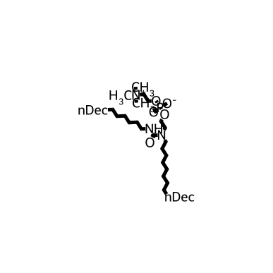 CCCCCCCCCCCCCCCCCCN(CCOP(=O)([O-])OCC[N+](C)(C)C)C(=O)NCCCCCCCCCCCCCCCC